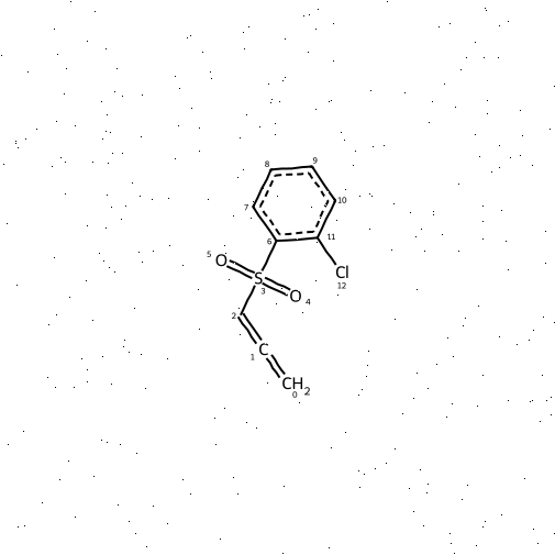 C=C=CS(=O)(=O)c1ccccc1Cl